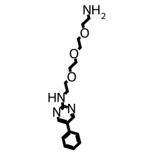 NCCOCCOCCOCCNc1ncc(-c2ccccc2)cn1